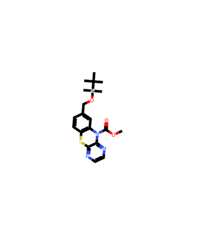 COC(=O)N1c2cc(CO[Si](C)(C)C(C)(C)C)ccc2Sc2nccnc21